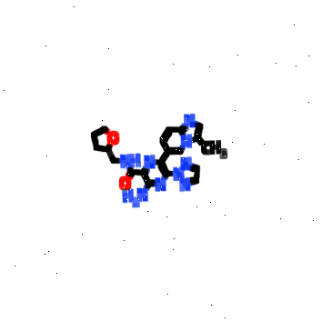 Cc1cnc2ccc(-c3nc(C(=O)NC[C@H]4CCCO4)c(N)nc3-n3nccn3)cn12